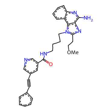 COCCc1nc2c(N)nc3ccccc3c2n1CCCCNC(=O)c1cncc(C#Cc2ccccc2)c1